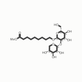 COC(=O)CCCCCCCCO[C@H]1O[C@H](CO)[C@@H](O)[C@H](O)[C@H]1O[C@H]1OC[C@@H](O)[C@H](O)[C@H]1O